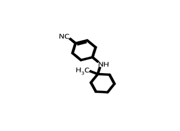 CC1(NC2CC=C(C#N)CC2)CCCCC1